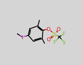 C[I+]c1cc(C)c(OS(=O)(=O)C(F)(F)F)c(C)c1